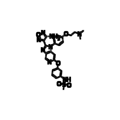 CN(C)CCOc1ccc(-n2c(-c3nonc3N)nc3cnc(Oc4cccc(NS(C)(=O)=O)c4)cc32)cc1